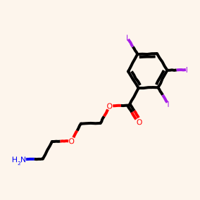 NCCOCCOC(=O)c1cc(I)cc(I)c1I